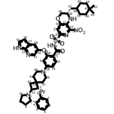 CC(C)c1ccccc1[C@@H]1CCCN1C1CC2(CCN(c3ccc(C(=O)NS(=O)(=O)c4cc5c(c([N+](=O)[O-])n4)N[C@@H](CC4CCC(C)(C)CC4)CO5)c(Oc4cnc5[nH]ccc5c4)c3)CC2)C1